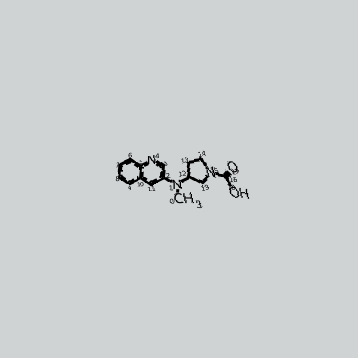 CN(c1cnc2ccccc2c1)C1CCN(C(=O)O)C1